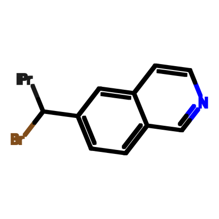 CC(C)C(Br)c1ccc2cnccc2c1